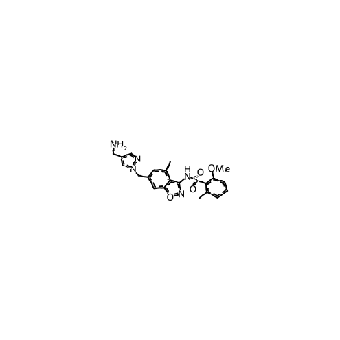 COc1cccc(C)c1S(=O)(=O)Nc1noc2cc(Cn3cc(CN)cn3)cc(C)c12